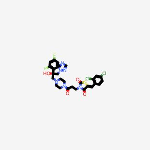 O=C(CCN1C(=O)SC(=Cc2ccc(Cl)cc2Cl)C1=O)N1CCN(CC(O)(Cn2cncn2)c2ccc(F)cc2F)CC1